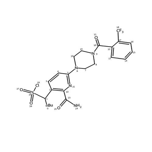 CCCCC(c1ccc(N2CCN(C(=O)c3ccccc3C(F)(F)F)CC2)nc1C(N)=O)S(=O)(=O)Cl